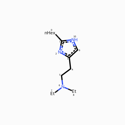 CCCCCCc1nc(CCN(CC)CC)c[nH]1